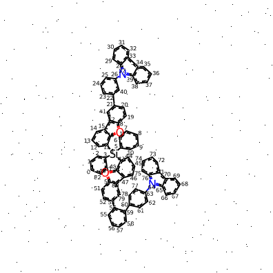 c1ccc([Si](c2ccccc2)(c2cccc3c2oc2ccc(-c4cccc(-n5c6ccccc6c6ccccc65)c4)cc23)c2cccc3c2oc2ccc(-c4ccccc4-c4ccc(-n5c6ccccc6c6ccccc65)cc4)cc23)cc1